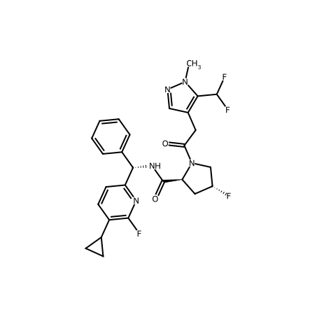 Cn1ncc(CC(=O)N2C[C@H](F)C[C@H]2C(=O)N[C@@H](c2ccccc2)c2ccc(C3CC3)c(F)n2)c1C(F)F